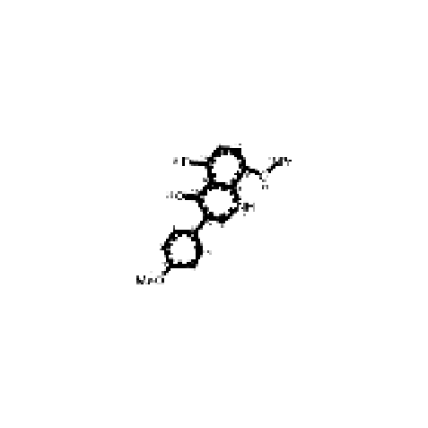 COc1ccc(-c2c[nH]c3c(OC(C)C)ccc(F)c3c2=O)cc1